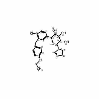 CCOc1ccc(Cc2cc([C@@H]3OC(n4ccnc4)[C@@H](O)[C@H](O)[C@H]3O)ccc2Cl)cc1